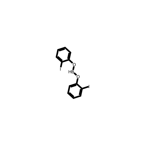 Ic1ccccc1OBOc1ccccc1I